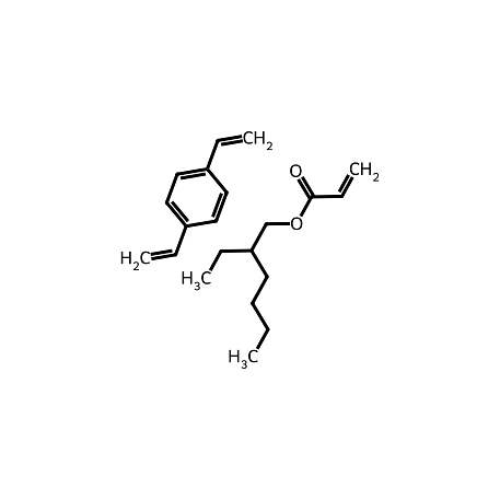 C=CC(=O)OCC(CC)CCCC.C=Cc1ccc(C=C)cc1